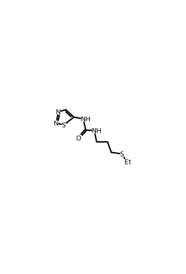 CCSCCCNC(=O)Nc1cnns1